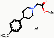 CC(C)(C)OC(=O)CN1CCC(c2ccc(C(=O)O)cc2)CC1.[LiH]